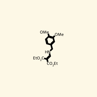 CCOC(=O)C(=CNCc1ccc(OC)c(OC)c1)C(=O)OCC